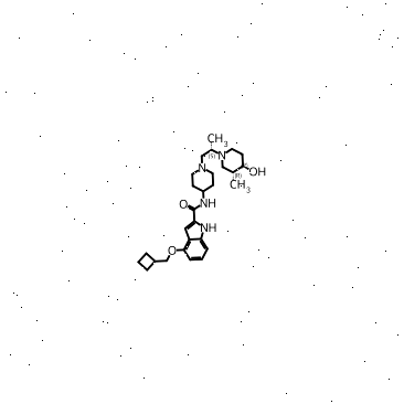 C[C@@H]1CN([C@@H](C)CN2CCC(NC(=O)c3cc4c(OCC5CCC5)cccc4[nH]3)CC2)CC[C@H]1O